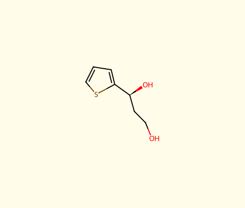 OCC[C@H](O)c1cccs1